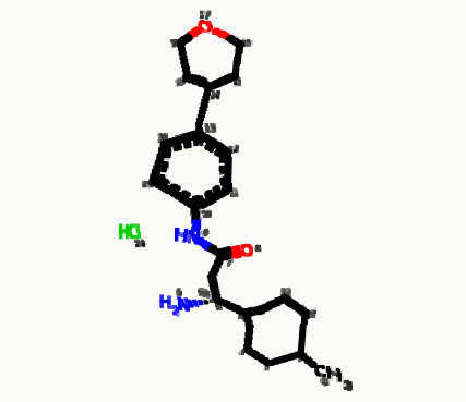 CC1CCC([C@H](N)C(=O)Nc2ccc(C3CCOCC3)cc2)CC1.Cl